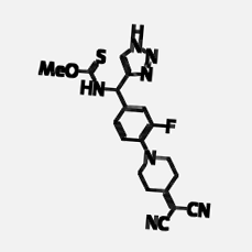 COC(=S)NC(c1ccc(N2CCC(=C(C#N)C#N)CC2)c(F)c1)c1c[nH]nn1